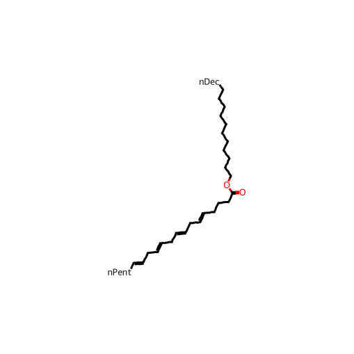 CCCCCC=CCC=CCC=CCC=CCCCC(=O)OCCCCCCCCCCCCCCCCCCCCC